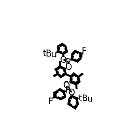 Cc1cc(C)c(OP(Oc2ccccc2C(C)(C)C)c2ccc(F)cc2)c(-c2cc(C)cc(C)c2OP(Oc2ccccc2C(C)(C)C)c2ccc(F)cc2)c1